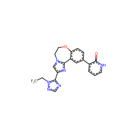 O=c1[nH]cccc1-c1ccc2c(c1)-c1nc(-c3ncnn3CC(F)(F)F)cn1CCO2